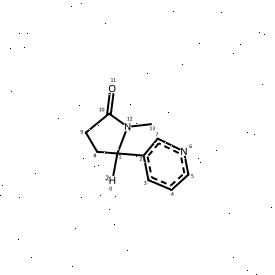 [2H]C1(c2cccnc2)CCC(=O)N1C